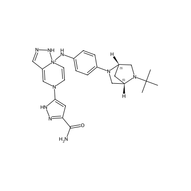 CC(C)(C)N1C[C@@H]2C[C@H]1CN2c1ccc(N[N+]23C=CN(c4cc(C(N)=O)n[nH]4)C=C2C=NN3)cc1